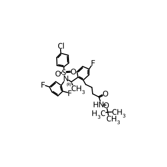 C[C@H](c1ccc(F)cc1CCCC(=O)NOC(C)(C)C)N(c1cc(F)ccc1F)S(=O)(=O)c1ccc(Cl)cc1